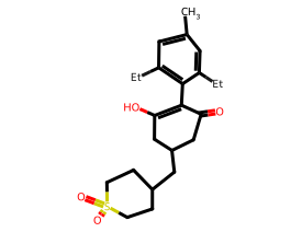 CCc1cc(C)cc(CC)c1C1=C(O)CC(CC2CCS(=O)(=O)CC2)CC1=O